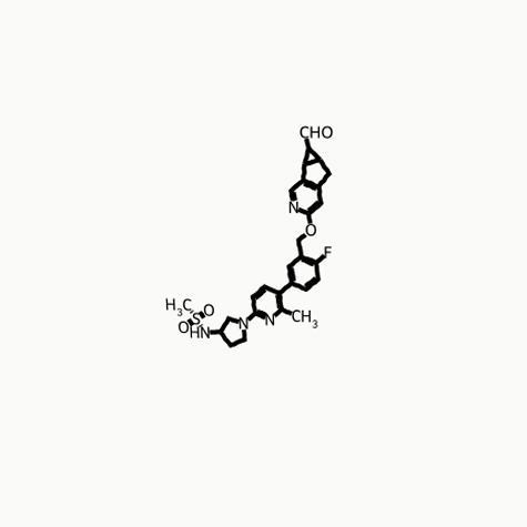 Cc1nc(N2CCC(NS(C)(=O)=O)C2)ccc1-c1ccc(F)c(COc2cc3c(cn2)C2C(C=O)C2C3)c1